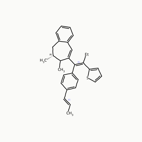 C/C=C/c1ccc(/C(C2=Cc3ccccc3C[C@@H](C)C2C)=C(/CC)c2cccs2)cc1